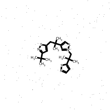 CC(C)(C)c1cc(CC(C)(C)c2cs[n+](CC(C)(C)c3ccns3)c2)sn1